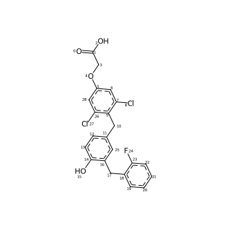 O=C(O)COc1cc(Cl)c(Cc2ccc(O)c(Cc3ccccc3F)c2)c(Cl)c1